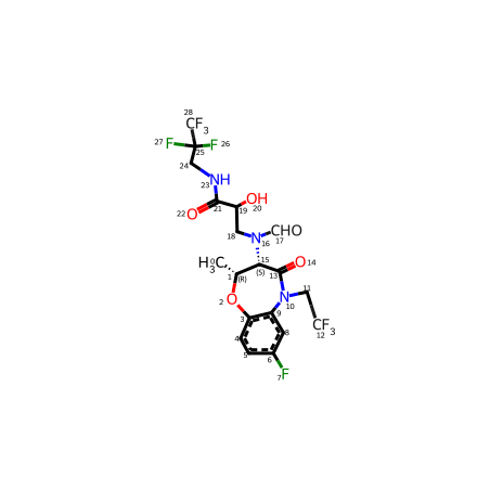 C[C@H]1Oc2ccc(F)cc2N(CC(F)(F)F)C(=O)[C@H]1N(C=O)CC(O)C(=O)NCC(F)(F)C(F)(F)F